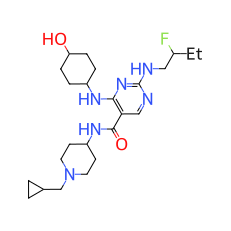 CCC(F)CNc1ncc(C(=O)NC2CCN(CC3CC3)CC2)c(NC2CCC(O)CC2)n1